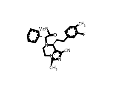 CNC(=O)[C@@H](c1ccccc1)N1CCn2c(C)nc(C#N)c2[C@@H]1CCc1ccc(C(F)(F)F)c(F)c1